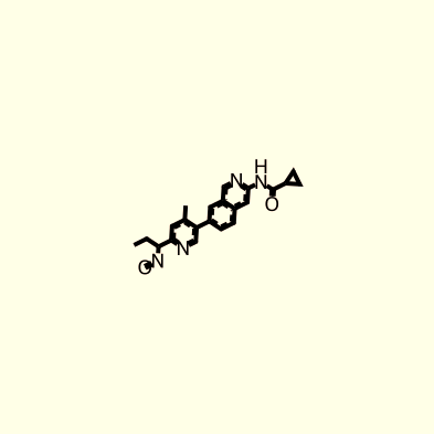 CCC(N=O)c1cc(C)c(-c2ccc3cc(NC(=O)C4CC4)ncc3c2)cn1